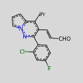 CC(C)c1c(C=CC=O)c(-c2ccc(F)cc2Cl)nn2cccc12